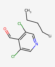 O=Cc1c(Cl)cncc1Cl.[Li][CH2]CCC